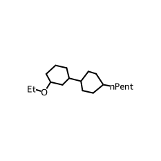 CCCCCC1CCC(C2CCCC(OCC)C2)CC1